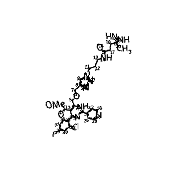 COC(=O)C1=C(COCc2cn(CCCNC(=O)CCC3(C)NN3)nn2)NC(c2ccncc2)=NC1c1ccc(F)cc1Cl